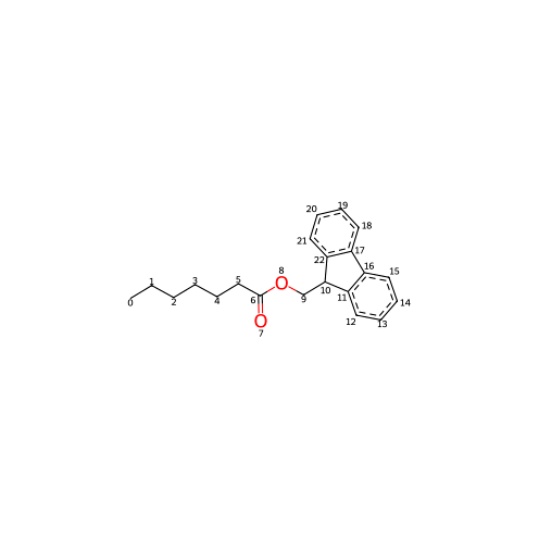 CCCCCCC(=O)OCC1c2ccccc2-c2ccccc21